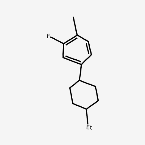 CCC1CCC(c2ccc(C)c(F)c2)CC1